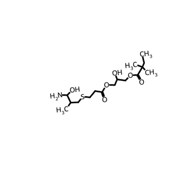 CCC(C)(C)C(=O)OCC(O)COC(=O)CCSCC(C)C(N)O